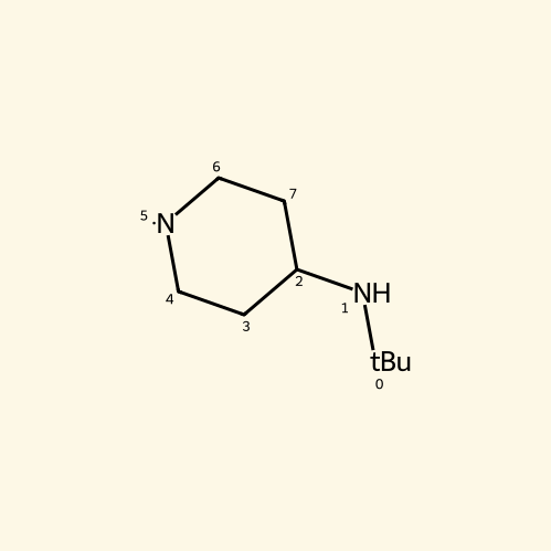 CC(C)(C)NC1CC[N]CC1